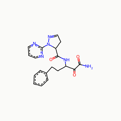 NC(=O)C(=O)C(CCc1ccccc1)NC(=O)C1CC=NN1c1ncccn1